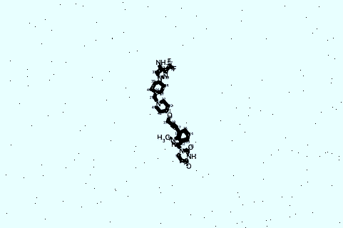 Cn1nc(N2CCC(=O)NC2=O)c2cccc(C#CCOC3CCN(CC4CCC(n5cc(N)c(C(F)F)n5)CC4)CC3)c21